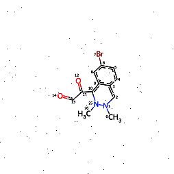 CN1C=c2ccc(Br)cc2=C(C(=O)C=O)N1C